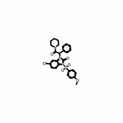 COc1ccc(S(=O)(=O)n2c(=O)n(C(C(=O)N3CCCCC3)c3ccccc3)c3cc(Cl)ccc32)cc1